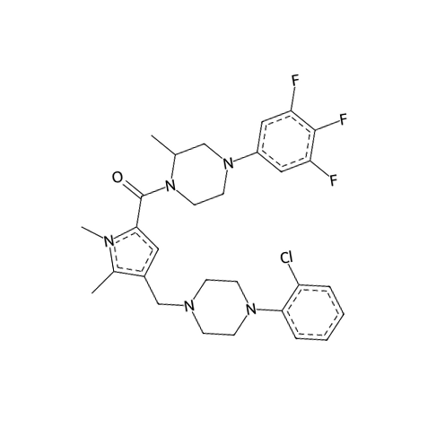 Cc1c(CN2CCN(c3ccccc3Cl)CC2)cc(C(=O)N2CCN(c3cc(F)c(F)c(F)c3)CC2C)n1C